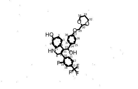 Oc1ccc2c(c1)NCC(c1ccc(C(F)(F)F)cc1F)=C2C(O)c1ccc(OCC2OCCCO2)cc1